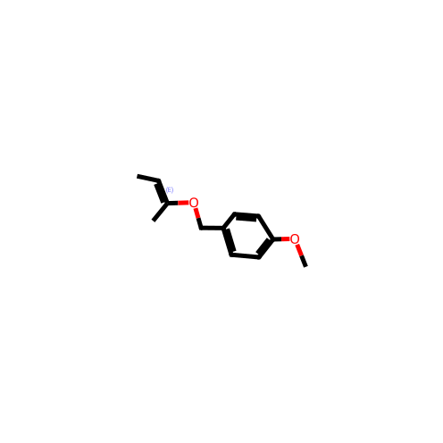 C/C=C(\C)OCc1ccc(OC)cc1